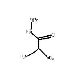 CCCCC(N)C(=O)NCCC